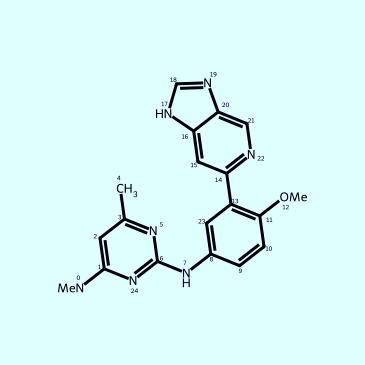 CNc1cc(C)nc(Nc2ccc(OC)c(-c3cc4[nH]cnc4cn3)c2)n1